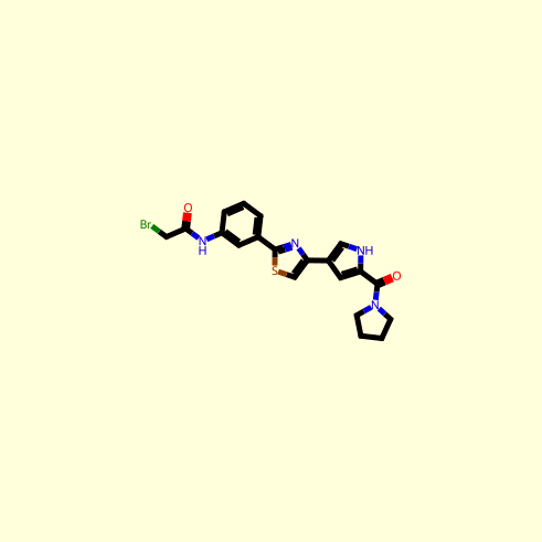 O=C(CBr)Nc1cccc(-c2nc(-c3c[nH]c(C(=O)N4CCCC4)c3)cs2)c1